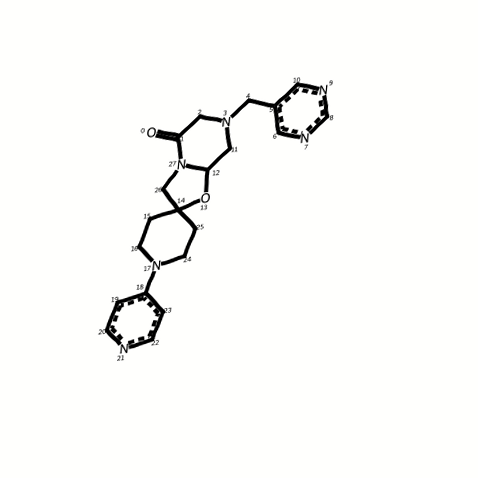 O=C1CN(Cc2cncnc2)CC2OC3(CCN(c4ccncc4)CC3)CN12